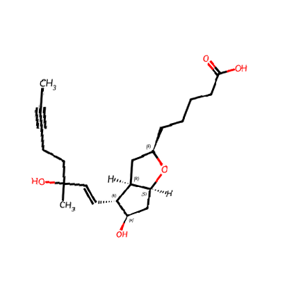 CC#CCCC(C)(O)C=C[C@@H]1[C@H]2C[C@@H](CCCCC(=O)O)O[C@H]2C[C@H]1O